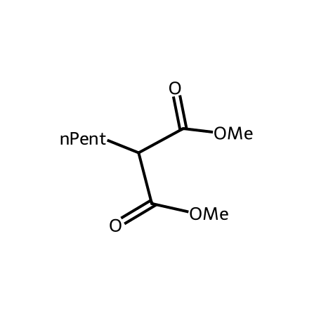 CCCCCC(C(=O)OC)C(=O)OC